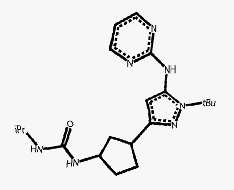 CC(C)NC(=O)NC1CCC(c2cc(Nc3ncccn3)n(C(C)(C)C)n2)C1